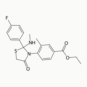 CCOC(=O)c1ccc(N2C(=O)CSC2(NC)c2ccc(F)cc2)c(C)c1